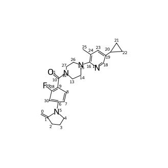 C=C1CCCN1c1ccc(C(=O)N2CCN(c3ncc(C4CC4)cc3C)CC2)c(F)c1